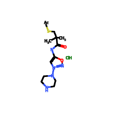 CC(=O)SCC(C)(C)C(=O)[N-]c1c[n+](N2CCNCC2)no1.Cl